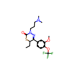 CCC1SC(=O)N(CCCN(C)C)N=C1c1ccc(OC(F)(F)F)c(OC)c1